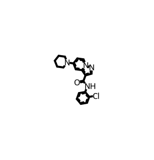 O=C(Nc1ccccc1Cl)c1cnn2ccc(N3CCCCC3)cc12